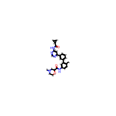 Cc1ccc(NC(=O)C2CN(C)CCO2)cc1-c1cccc(-c2cc(NC(=O)C3CC3)ncn2)c1